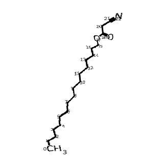 CCCCCCCCCCCCCCCCCOC(=O)CC#N